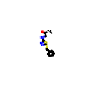 CC(=O)CNc1nnc(SCc2ccccc2)s1